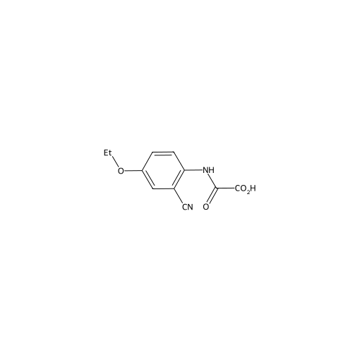 CCOc1ccc(NC(=O)C(=O)O)c(C#N)c1